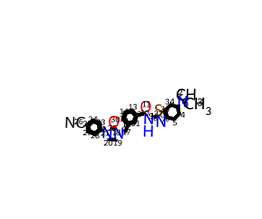 CN(C)[C@H]1CCc2nc(NC(=O)c3cccc(CN4CCN(c5ccc(C#N)cc5)C4=O)c3)sc2C1